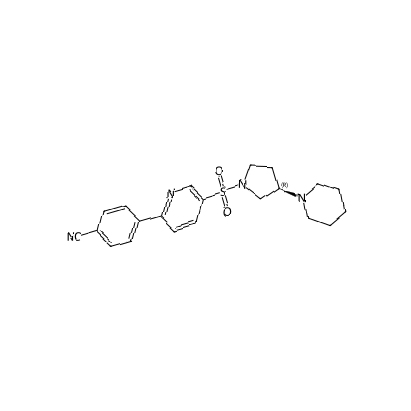 N#Cc1ccc(-c2ccc(S(=O)(=O)N3CC[C@@H](N4CCCCC4)C3)cn2)cc1